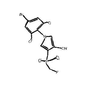 N#Cc1cn(-c2c(Cl)cc(Br)cc2Cl)cc1S(Cl)(Cl)CF